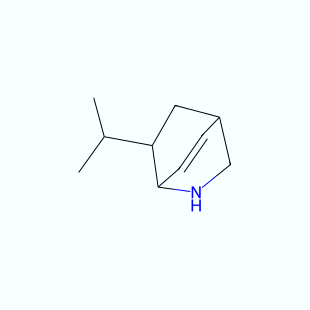 CC(C)C1CC2C=CC1NC2